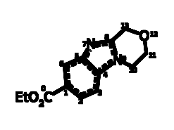 CCOC(=O)c1ccc2c(c1)nc1n2CCOC1